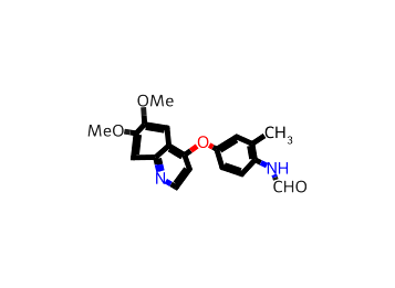 COc1cc2nccc(Oc3ccc(NC=O)c(C)c3)c2cc1OC